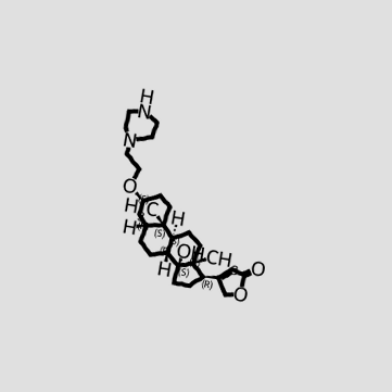 C[C@]12CC[C@H](OCCN3CCNCC3)C[C@H]1CC[C@@H]1[C@@H]2CC[C@]2(C)[C@@H](C3=CC(=O)OC3)CC[C@]12O